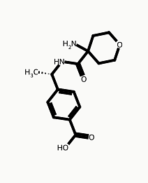 C[C@H](NC(=O)C1(N)CCOCC1)c1ccc(C(=O)O)cc1